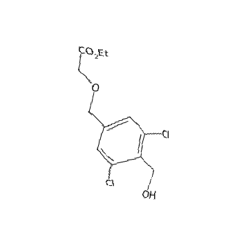 CCOC(=O)COCc1cc(Cl)c(CO)c(Cl)c1